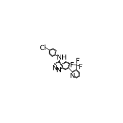 FC(F)(F)c1cccnc1-c1ccc2c(Nc3ccc(Cl)cc3)cnnc2c1